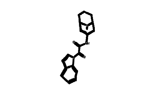 CN1C2CCCC1CC(NC(=O)C(=O)n1ccc3ccccc31)C2